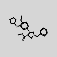 COC(=O)[C@@H]1CN(Cc2ccccc2)C[C@@H]1c1ccc(OC)c(OC2CCCC2)c1